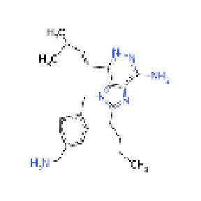 CCCCc1nc2c(N)nnc(C=CC(C)C)c2n1Cc1ccc(CN)cc1